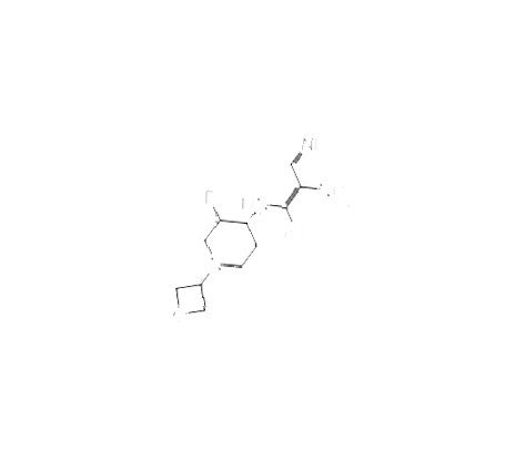 N=C/C(=C(/Cl)N[C@H]1CCN(C2COC2)CC1F)[N+](=O)[O-]